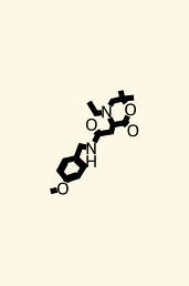 CCN1CC(C)(C)OC(=O)C1CC(=O)NCc1ccc(OC)cc1